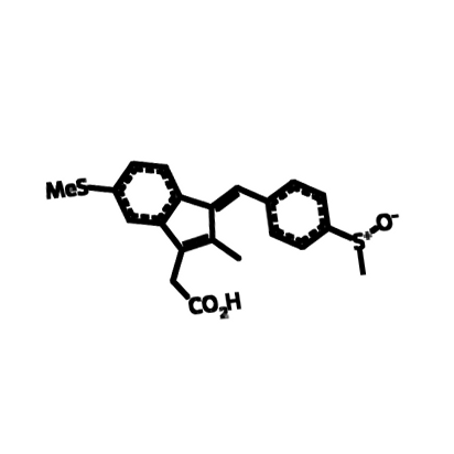 CSc1ccc2c(c1)C(CC(=O)O)=C(C)C2=Cc1ccc([S+](C)[O-])cc1